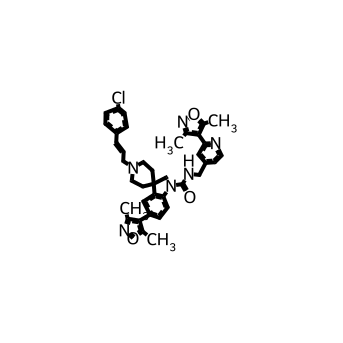 Cc1noc(C)c1-c1ccc2c(c1)C1(CCN(CC=Cc3ccc(Cl)cc3)CC1)CN2C(=O)NCc1ccnc(-c2c(C)noc2C)c1